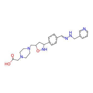 O=C(O)CN1CCN(CC2CC(c3ccc(C=NNCc4cccnc4)cc3)NO2)CC1